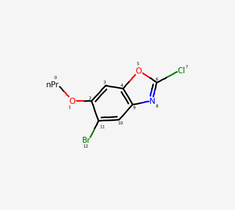 CCCOc1cc2oc(Cl)nc2cc1Br